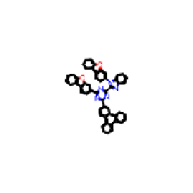 c1ccc2c(c1)nc(-c1nc(-c3ccc4c(c3)oc3ccccc34)nc(-c3ccc4c5ccccc5c5ccccc5c4c3)n1)n2-c1ccc2c(c1)oc1ccccc12